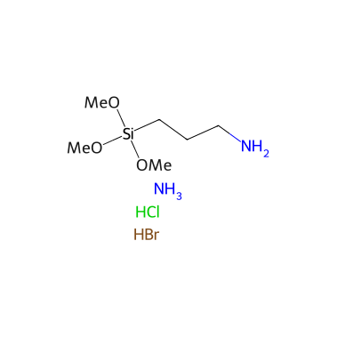 Br.CO[Si](CCCN)(OC)OC.Cl.N